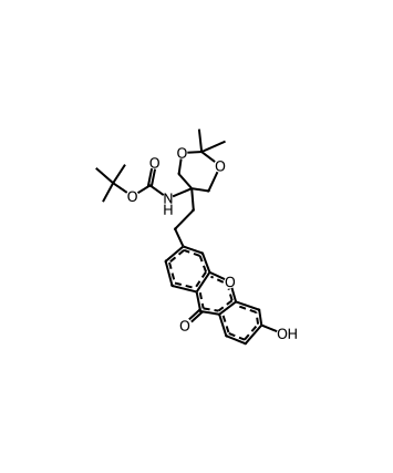 CC(C)(C)OC(=O)NC1(CCc2ccc3c(=O)c4ccc(O)cc4oc3c2)COC(C)(C)OC1